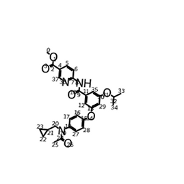 COC(=O)c1ccc(NC(=O)c2cc(Oc3ccc(N(CC4CC4)C(C)=O)cc3)cc(OC(C)C)c2)nc1